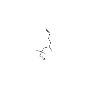 C=CCCC(C)CC(C)(C)P